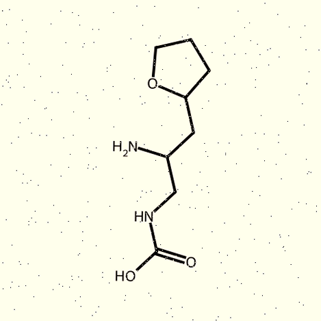 NC(CNC(=O)O)CC1CCCO1